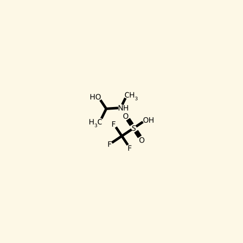 CNC(C)O.O=S(=O)(O)C(F)(F)F